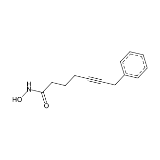 O=C(CCCC#CCc1ccccc1)NO